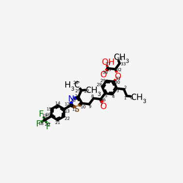 CCCc1cc(C(=O)CCc2sc(-c3ccc(C(F)(F)F)cc3)nc2C(C)C)ccc1OC(CC)C(=O)O